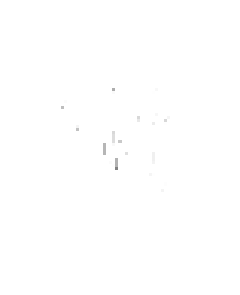 C=CCC1OC2COC(C)(C)OC2C(n2cc(-c3ccc(C)c(F)c3F)nn2)C1OC(C)=O